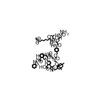 C=CS(=O)(=O)CCCCCC(=O)N[C@@H](C(C)C)C(O)N[C@@H](CCCNC(N)=O)C(=O)Nc1ccc(COC(=O)N(CCOC23CC4(C)CC(C)(CC(Cn5ncc(-c6ccc(N7CCc8cccc(C(=O)Nc9nc%10ccccc%10s9)c8C7)nc6C(=O)O)c5C)(C4)C2)C3)CCS(=O)(=O)O)cc1